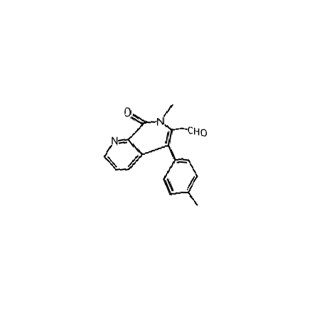 Cc1ccc(-c2c(C=O)n(C)c(=O)c3ncccc23)cc1